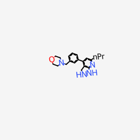 CCCc1cc(-c2cccc(CN3CCOCC3)c2)c2c(n1)NNC2